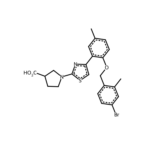 Cc1ccc(OCc2ccc(Br)cc2C)c(-c2csc(N3CCC(C(=O)O)C3)n2)c1